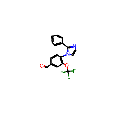 O=Cc1ccc(-n2ccnc2-c2ccccc2)c(OC(F)(F)F)c1